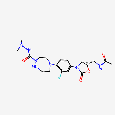 CC(=O)NC[C@H]1CN(c2ccc(N3CCNN(C(=O)NN(C)C)CC3)c(F)c2)C(=O)O1